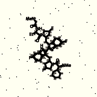 CCC(NC(=O)CNC)C(=O)N1CC(F)CC1Cn1c(-c2[nH]c3cc(F)ccc3c2CC2CC(F)CN2C(=O)C(NC)C2CCCCC2)nc2cc(F)ccc21